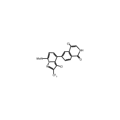 CNc1ccc(-c2ccc3c(=O)[nH]cc(Cl)c3c2)c2c(Cl)c(C(F)(F)F)nn12